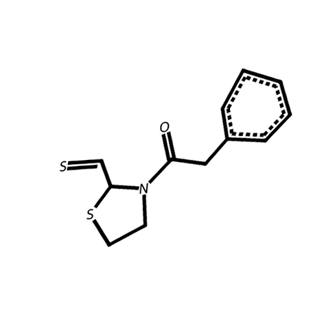 O=C(Cc1ccccc1)N1CCSC1C=S